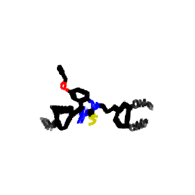 C#CCOc1ccc2c(c1)c(-c1ccc(C(C)C)cc1)nc(=S)n2CCCc1ccc(OC)c(OC)c1